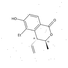 C=C[C@@H]1c2c(ccc(O)c2CC)C(=O)O[C@H]1C